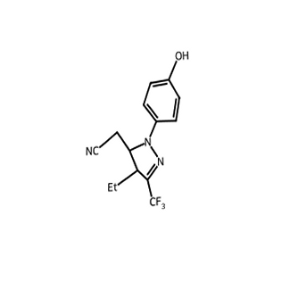 CCC1C(C(F)(F)F)=NN(c2ccc(O)cc2)C1CC#N